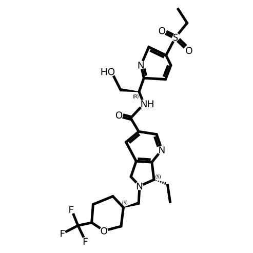 CC[C@H]1c2ncc(C(=O)N[C@@H](CO)c3ccc(S(=O)(=O)CC)cn3)cc2CN1C[C@@H]1CCC(C(F)(F)F)OC1